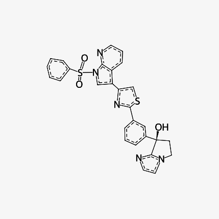 O=S(=O)(c1ccccc1)n1cc(-c2csc(-c3cccc([C@]4(O)CCn5ccnc54)c3)n2)c2cccnc21